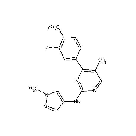 Cc1cnc(Nc2cnn(C)c2)nc1-c1ccc(C(=O)O)c(F)c1